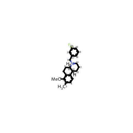 COc1c(C)ccc2c1CC[C@@H]1[C@@H]2CCCN1Cc1cccc(F)c1